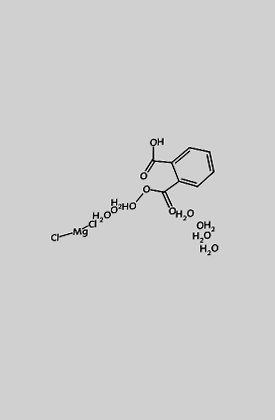 O.O.O.O.O.O.O=C(O)c1ccccc1C(=O)OO.[Cl][Mg][Cl]